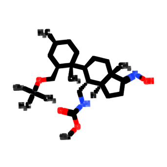 C[C@H]1CC[C@](C)([C@H]2CC[C@]3(C)/C(=N/O)CC[C@H]3[C@@H]2CNC(=O)OC(C)(C)C)[C@@H](CO[Si](C)(C)C(C)(C)C)C1